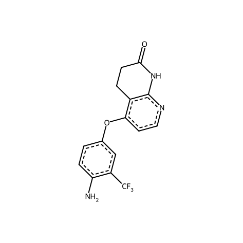 Nc1ccc(Oc2ccnc3c2CCC(=O)N3)cc1C(F)(F)F